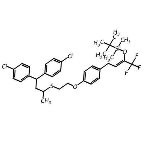 CC(CC(c1ccc(Cl)cc1)c1ccc(Cl)cc1)SCCOc1ccc(CC=C(O[Si](C)(C)C(C)(C)C)C(F)(F)F)cc1